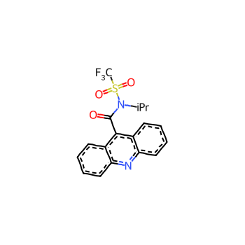 CC(C)N(C(=O)c1c2ccccc2nc2ccccc12)S(=O)(=O)C(F)(F)F